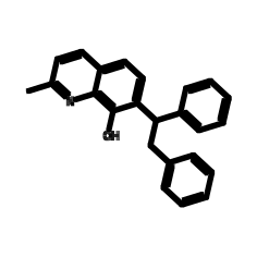 Cc1ccc2ccc(C(Cc3ccccc3)c3ccccc3)c(O)c2n1